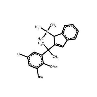 COc1c(C(C)(C)C)cc(Cl)cc1C(C)(C)C1=Cc2ccccc2C1[Si](C)(C)C